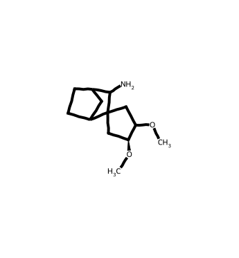 COC1CC2(C[C@@H]1OC)C1CCC(C1)C2N